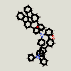 c1ccc(-c2ccc(N(c3ccc(-c4ccc5c(c4)C4(c6ccccc6-c6ccc(-c7ccccc7)cc64)c4ccccc4-5)cc3)c3cccc4oc5ccc(-c6ccc7c(c6)c6ccccc6n7-c6ccccc6)cc5c34)cc2)cc1